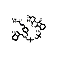 CC(C)(CNc1cccc2c1C(=O)N(C1CCC(=O)NC1=O)C2=O)COCC(C)(C)CN(CCc1c[nH]c2ccccc12)Cc1ccc(/C=C/C(=O)NO)cc1